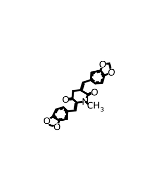 CN1C(=O)/C(=C\c2ccc3c(c2)OCO3)CC(=O)/C1=C\c1ccc2c(c1)OCO2